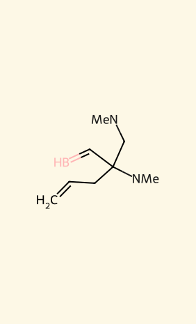 B=CC(CC=C)(CNC)NC